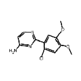 COc1cc(Cl)c(-c2nccc(N)n2)cc1OC